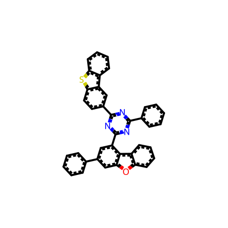 c1ccc(-c2cc(-c3nc(-c4ccccc4)nc(-c4ccc5sc6ccccc6c5c4)n3)c3c(c2)oc2ccccc23)cc1